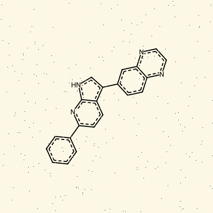 c1ccc(-c2ccc3c(-c4ccc5nccnc5c4)c[nH]c3n2)cc1